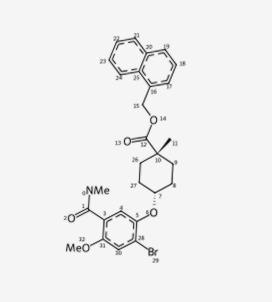 CNC(=O)c1cc(O[C@H]2CC[C@@](C)(C(=O)OCc3cccc4ccccc34)CC2)c(Br)cc1OC